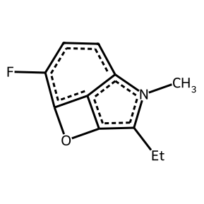 CCc1c2c3c(c(F)ccc3n1C)O2